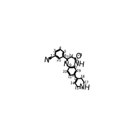 N#Cc1cccc(C2=Nc3ccc(C4=CCNCC4)cc3NC(=O)C2)c1